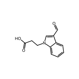 O=Cc1cn(CCC(=O)O)c2ccccc12